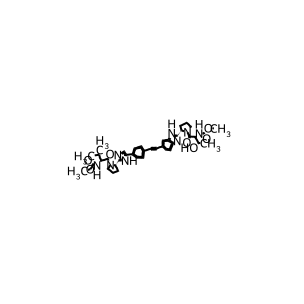 COC(=O)N[C@H](C(=O)N1CCC[C@H]1c1ncc(-c2ccc(C#Cc3ccc4nc([C@@H]5CCCN5C(=O)[C@@H](NC(=O)OC)C(C)O)[nH]c4c3)cc2)[nH]1)C(C)C